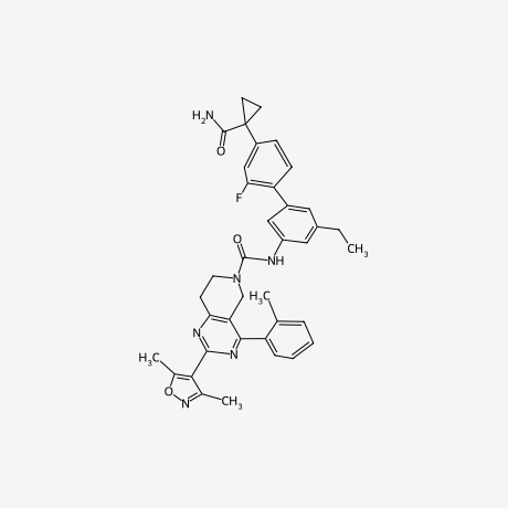 CCc1cc(NC(=O)N2CCc3nc(-c4c(C)noc4C)nc(-c4ccccc4C)c3C2)cc(-c2ccc(C3(C(N)=O)CC3)cc2F)c1